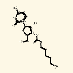 CCCCCCCC(=O)O[C@H]1[C@@H](F)[C@H](n2ccc(N)nc2=O)O[C@@H]1CO